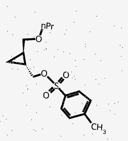 CCCOC[C@@H]1C[C@H]1COS(=O)(=O)c1ccc(C)cc1